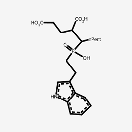 CCCCCC(C(CCC(=O)O)C(=O)O)P(=O)(O)CCc1c[nH]c2ccccc12